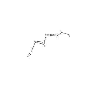 CC/C=C/C=C/[S]